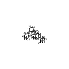 Cn1ccnc1-c1nc(O)c2c(-c3ccccc3)c(-c3cccnc3)cn2n1